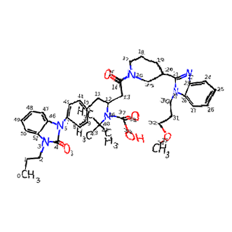 CCCn1c(=O)n(-c2ccc(CC(CC(=O)N3CCCC(c4nc5ccccc5n4CCCOC)C3)N(C(=O)O)C(C)(C)C)cc2)c2ccccc21